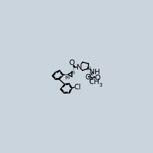 CS(=O)(=O)N[C@H]1CCN(C(=O)[C@@H]2C[C@H]2c2ccccc2-c2cccc(Cl)c2)C1